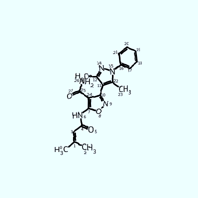 CC(C)=CC(=O)Nc1onc(-c2c(C)nn(-c3ccccc3)c2C)c1C(N)=O